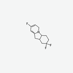 FC1=CCN2C(=C1)CC1CC(F)(F)CCC12